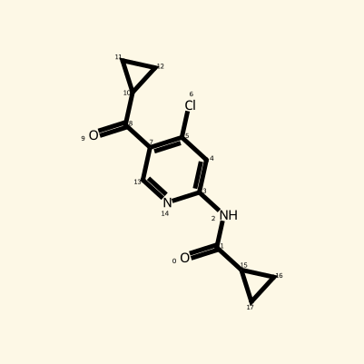 O=C(Nc1cc(Cl)c(C(=O)C2CC2)cn1)C1CC1